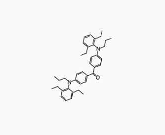 CCCN(c1ccc(C(=O)c2ccc(N(CCC)c3c(CC)cccc3CC)cc2)cc1)c1c(CC)cccc1CC